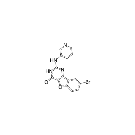 O=c1[nH]c(Nc2cccnc2)nc2c1oc1ccc(Br)cc12